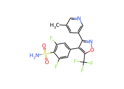 Cc1cncc(-c2noc(C(F)(F)F)c2-c2cc(F)c(S(N)(=O)=O)c(F)c2)c1